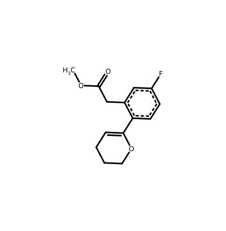 COC(=O)Cc1cc(F)ccc1C1=CCCCO1